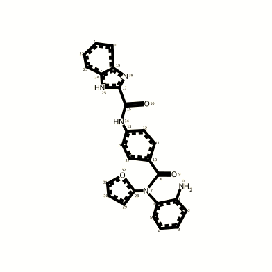 Nc1ccccc1N(C(=O)c1ccc(NC(=O)c2nc3ccccc3[nH]2)cc1)c1ccco1